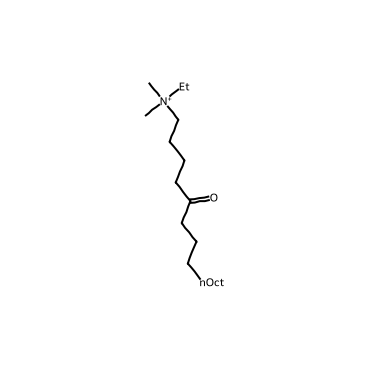 CCCCCCCCCCCC(=O)CCCC[N+](C)(C)CC